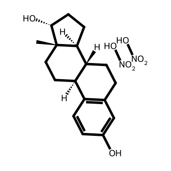 C[C@]12CC[C@@H]3c4ccc(O)cc4CC[C@H]3[C@@H]1CC[C@H]2O.O=[N+]([O-])O.O=[N+]([O-])O